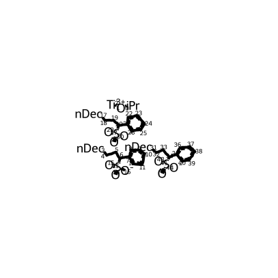 CC(C)[O][Ti+3].CCCCCCCCCCCCC(c1ccccc1)S(=O)(=O)[O-].CCCCCCCCCCCCC(c1ccccc1)S(=O)(=O)[O-].CCCCCCCCCCCCC(c1ccccc1)S(=O)(=O)[O-]